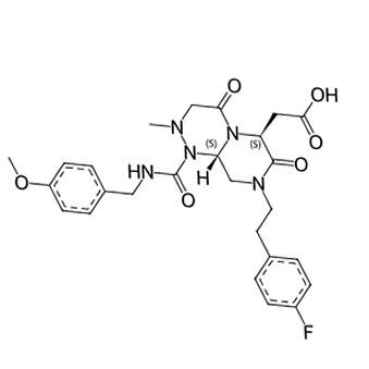 COc1ccc(CNC(=O)N2[C@H]3CN(CCc4ccc(F)cc4)C(=O)[C@H](CC(=O)O)N3C(=O)CN2C)cc1